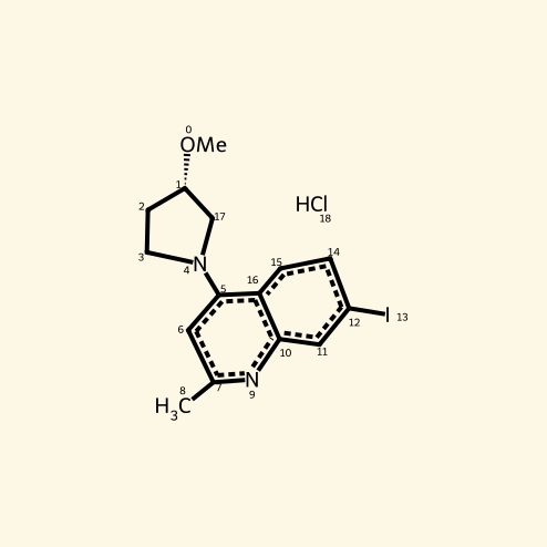 CO[C@H]1CCN(c2cc(C)nc3cc(I)ccc23)C1.Cl